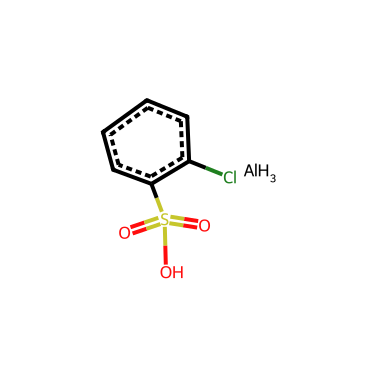 O=S(=O)(O)c1ccccc1Cl.[AlH3]